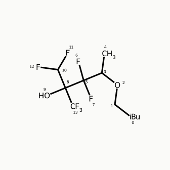 CCC(C)COC(C)C(F)(F)C(O)(C(F)F)C(F)(F)F